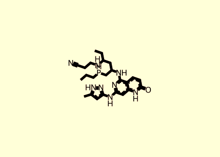 CCCPCC(CC(CC)NCCC#N)Nc1nc(Nc2cc(C)[nH]n2)cc2[nH]c(=O)ccc12